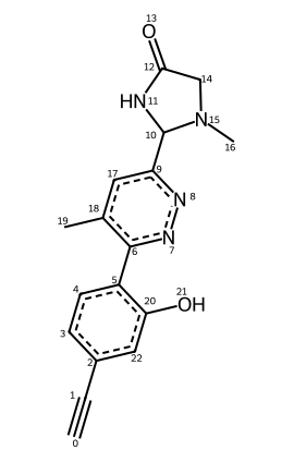 C#Cc1ccc(-c2nnc(C3NC(=O)CN3C)cc2C)c(O)c1